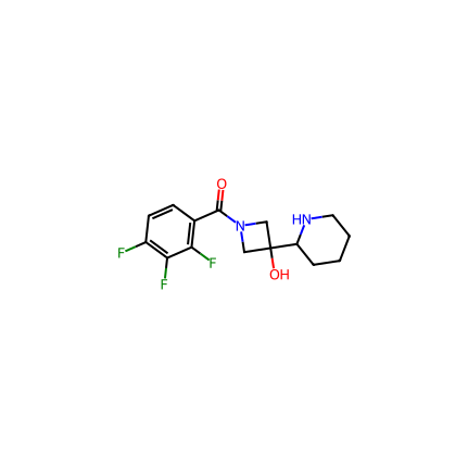 O=C(c1ccc(F)c(F)c1F)N1CC(O)(C2CCCCN2)C1